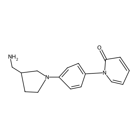 NCC1CCN(c2ccc(-n3ccccc3=O)cc2)C1